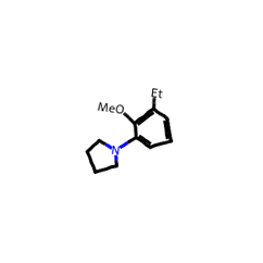 CCc1cccc(N2CCCC2)c1OC